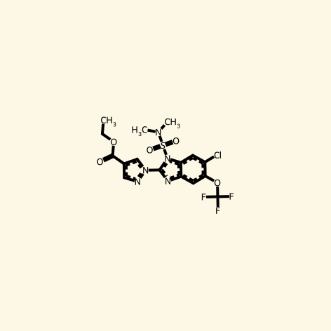 CCOC(=O)c1cnn(-c2nc3cc(OC(F)(F)F)c(Cl)cc3n2S(=O)(=O)N(C)C)c1